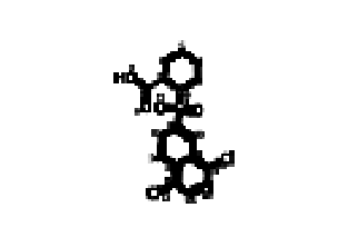 O=C(O)[C@H]1CCCCN1S(=O)(=O)c1ccc2c(Cl)cnc(Cl)c2c1